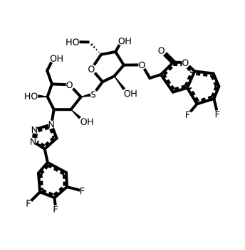 O=c1oc2ccc(F)c(F)c2cc1COC1C(O)[C@@H](CO)OC(S[C@@H]2OC(CO)[C@H](O)C(n3cc(-c4cc(F)c(F)c(F)c4)nn3)[C@@H]2O)[C@@H]1O